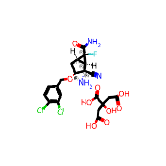 N#C[C@]1(N)[C@H]2[C@@H](C[C@H]1OCc1ccc(Cl)c(Cl)c1)[C@]2(F)C(N)=O.O=C(O)CC(O)(CC(=O)O)C(=O)O